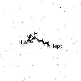 CCCCCCCCCCCNc1nnc(N)s1